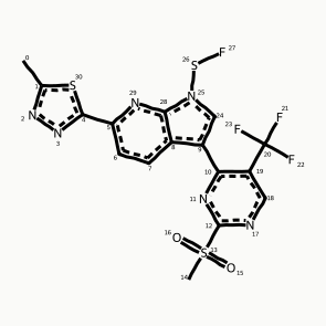 Cc1nnc(-c2ccc3c(-c4nc(S(C)(=O)=O)ncc4C(F)(F)F)cn(SF)c3n2)s1